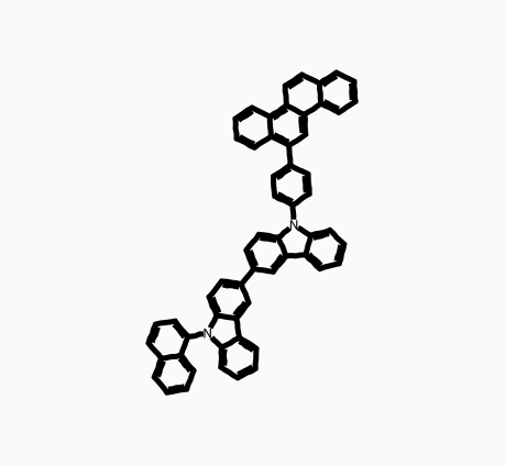 c1ccc2c(-n3c4ccccc4c4cc(-c5ccc6c(c5)c5ccccc5n6-c5ccc(-c6cc7c8ccccc8ccc7c7ccccc67)cc5)ccc43)cccc2c1